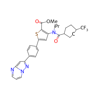 COC(=O)c1sc(-c2ccc(-c3cc4ncccn4n3)cc2)cc1N(C(=O)C1CCC(C(F)(F)F)CC1)C(C)C